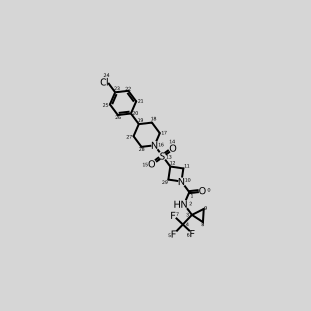 O=C(NC1(C(F)(F)F)CC1)N1CC(S(=O)(=O)N2CCC(c3ccc(Cl)cc3)CC2)C1